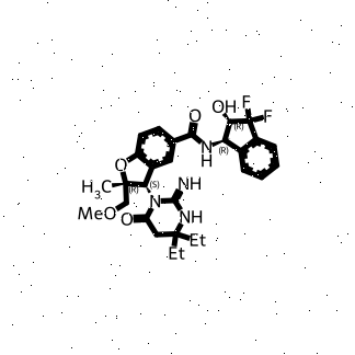 CCC1(CC)CC(=O)N([C@H]2c3cc(C(=O)N[C@@H]4c5ccccc5C(F)(F)[C@@H]4O)ccc3O[C@@]2(C)COC)C(=N)N1